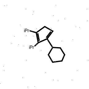 CC(C)C1=C(C(C)C)C(C2CCCCC2)=CC1